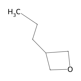 CCCC1COC1